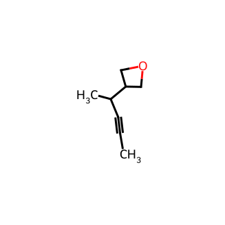 CC#CC(C)C1COC1